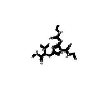 CCOC(=O)Sc1nc(C[C@@H](C(=O)OC)N(C)C)cn1C(=O)OCC